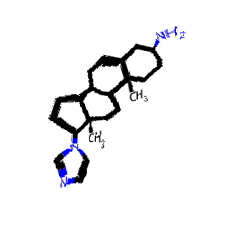 C[C@]12CC[C@H](N)CC1=CCC1C2CC[C@]2(C)C(n3ccnc3)=CCC12